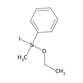 CCO[Si](C)(I)c1ccccc1